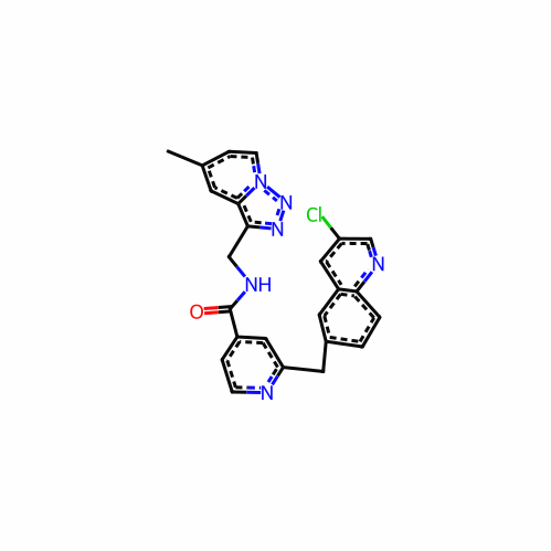 Cc1ccn2nnc(CNC(=O)c3ccnc(Cc4ccc5ncc(Cl)cc5c4)c3)c2c1